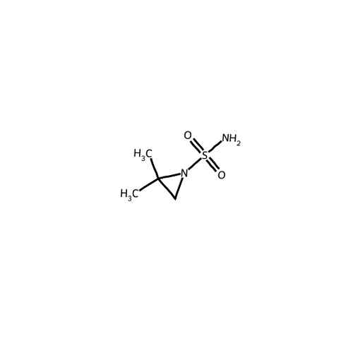 CC1(C)CN1S(N)(=O)=O